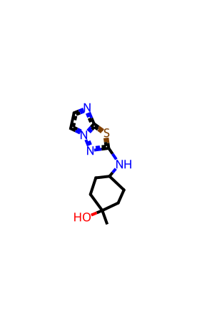 CC1(O)CCC(Nc2nn3ccnc3s2)CC1